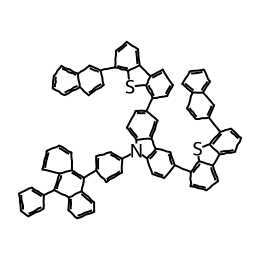 c1ccc(-c2c3ccccc3c(-c3ccc(-n4c5ccc(-c6cccc7c6sc6c(-c8ccc9ccccc9c8)cccc67)cc5c5cc(-c6cccc7c6sc6c(-c8ccc9ccccc9c8)cccc67)ccc54)cc3)c3ccccc23)cc1